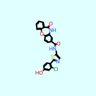 O=C(NCc1cnc(-c2ccc(O)cc2Cl)s1)c1ccc2c(c1)NC(=O)c1ccccc1O2